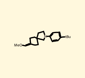 COC=C1CCC2(CC1)CCN(c1ccc(C(C)(C)C)cc1)C2